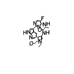 CCN(CCNC(=O)[C@H](C)Nc1nc(-c2c[nH]c3ncc(Cl)cc23)ncc1F)CCOC